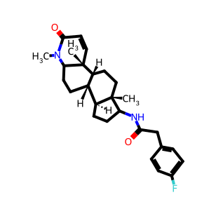 CN1C(=O)C=C[C@@]2(C)C1CC[C@@H]1[C@H]2CC[C@]2(C)C(NC(=O)Cc3ccc(F)cc3)CC[C@@H]12